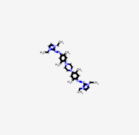 CCn1cc[n+](CC)c1N=Nc1cc(C)c(N2CCN(c3cc(C)c(N=Nc4n(CC)cc[n+]4CC)cc3C)CC2)cc1C